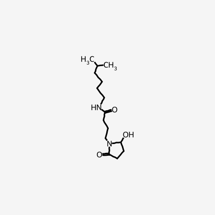 CC(C)CCCCNC(=O)CCCN1C(=O)CCC1O